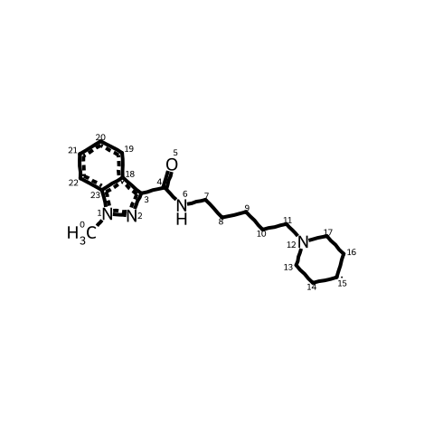 Cn1nc(C(=O)NCCCCCN2CC[CH]CC2)c2ccccc21